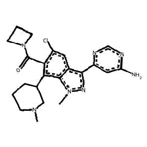 CN1CCCC(c2c(C(=O)N3CCC3)c(Cl)cc3c(-c4cc(N)ncn4)nn(C)c23)C1